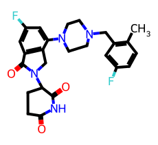 Cc1ccc(F)cc1CN1CCN(c2cc(F)cc3c2CN(C2CCC(=O)NC2=O)C3=O)CC1